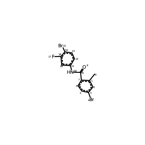 Cc1cc(Br)ccc1C(=O)Nc1ccc(Br)c(F)c1